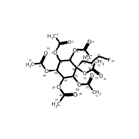 CC(=O)OC1C(OC(C)=O)[C@](CCCF)(OC(C)=O)C(OC(C)=O)C(OC(C)=O)[C@H]1OC(C)=O